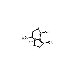 CC1=C2[C@H](O)OCC(C)[C@@H]2CC1